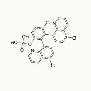 O=P(O)(O)Oc1ccc(Cl)c(-c2ccc(Cl)c3cccnc23)c1-c1ccc(Cl)c2cccnc12